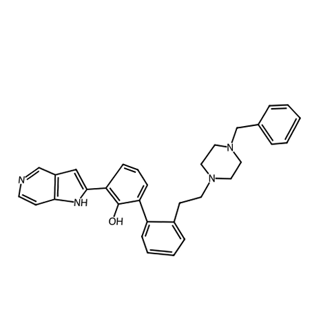 Oc1c(-c2cc3cnccc3[nH]2)cccc1-c1ccccc1CCN1CCN(Cc2ccccc2)CC1